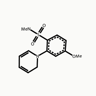 CNS(=O)(=O)c1ccc(OC)cc1N1C=CC=CC1